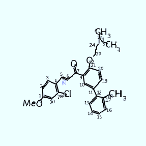 COc1ccc(/C=C/C(=O)c2cc(-c3ccccc3C)ccc2OCCN(C)C)c(Cl)c1